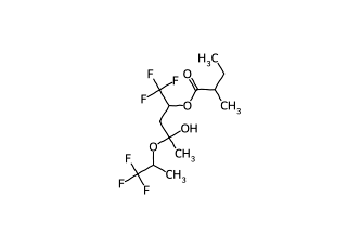 CCC(C)C(=O)OC(CC(C)(O)OC(C)C(F)(F)F)C(F)(F)F